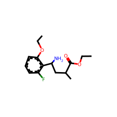 CCOC(=O)C(C)CC(N)c1c(F)cccc1OCC